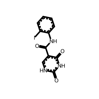 O=C(Nc1ccccc1I)c1c[nH]c(=O)[nH]c1=O